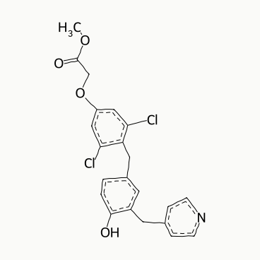 COC(=O)COc1cc(Cl)c(Cc2ccc(O)c(Cc3ccncc3)c2)c(Cl)c1